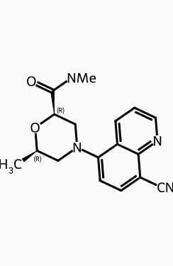 CNC(=O)[C@H]1CN(c2ccc(C#N)c3ncccc23)C[C@@H](C)O1